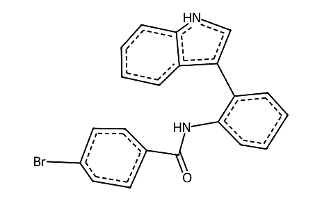 O=C(Nc1ccccc1-c1c[nH]c2ccccc12)c1ccc(Br)cc1